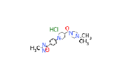 Cc1noc(-c2ccc(N3CCC(C(=O)N4CCN(C(C)C)CC4)CC3)cc2)n1.Cl